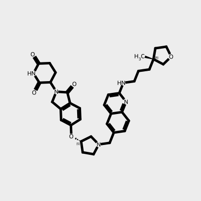 C[C@@]1(CCCNc2ccc3cc(CN4CC[C@H](Oc5ccc6c(c5)CN(C5CCC(=O)NC5=O)C6=O)C4)ccc3n2)CCOC1